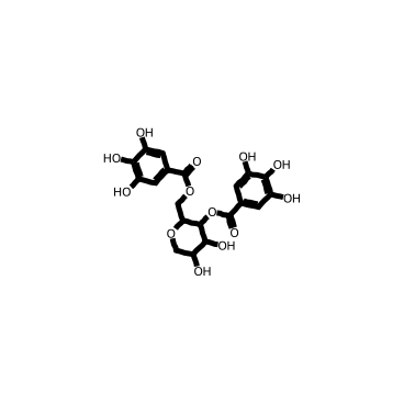 O=C(OCC1OCC(O)C(O)C1OC(=O)c1cc(O)c(O)c(O)c1)c1cc(O)c(O)c(O)c1